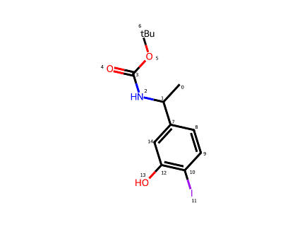 CC(NC(=O)OC(C)(C)C)c1ccc(I)c(O)c1